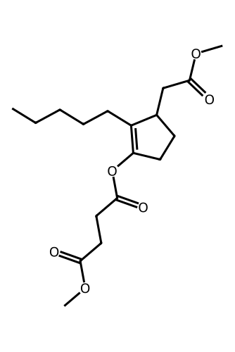 CCCCCC1=C(OC(=O)CCC(=O)OC)CCC1CC(=O)OC